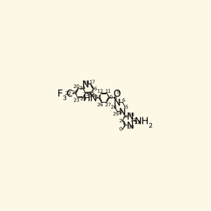 Cc1cc(N2CCN(C(=O)c3ccc(Nc4ccnc5cc(C(F)(F)F)ccc45)cc3)CC2)nc(N)n1